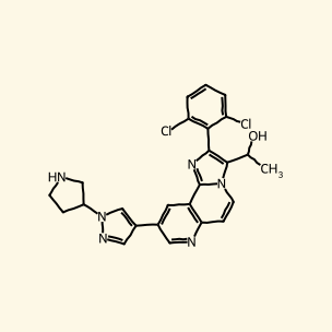 CC(O)c1c(-c2c(Cl)cccc2Cl)nc2c3cc(-c4cnn(C5CCNC5)c4)cnc3ccn12